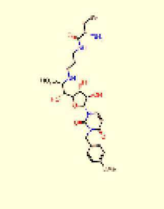 COc1ccc(Cn2c(=O)ccn([C@@H]3OC([C@H](O)[C@H](NCCCNC(=O)[C@@H](N)CC(C)C)C(=O)O)[C@@H](O)[C@H]3O)c2=O)cc1